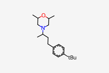 CC1CN(C(C)CCc2ccc(C(C)(C)C)cc2)CC(C)O1